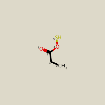 CCC(=O)OS